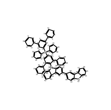 c1ccc(-c2cc(-c3ccccc3)cc([Si](c3ccccc3)(c3ccccc3)c3cc(-c4ccccc4)c(-n4c5ccccc5c5cc(-c6ccc7sc8ccccc8c7c6)ccc54)c(-c4ccccc4)c3)c2)cc1